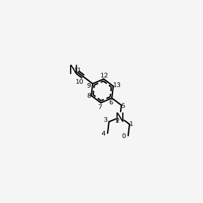 CCN(CC)Cc1ccc(C#N)cc1